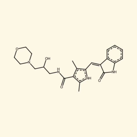 Cc1[nH]c(C=C2C(=O)Nc3ccccc32)c(C)c1C(=O)NCC(O)CN1CCOCC1